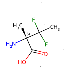 CC(F)(F)[C@@](C)(N)C(=O)O